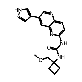 COCC1(NC(=O)Nc2ccc3ncc(-c4cn[nH]c4)cc3n2)CCC1